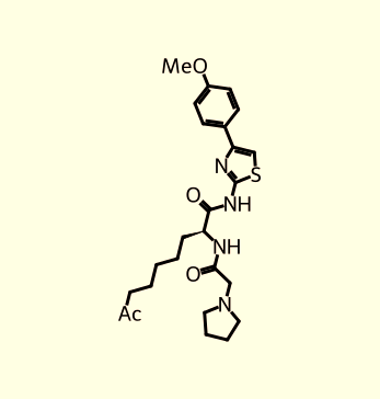 COc1ccc(-c2csc(NC(=O)[C@H](CCCCCC(C)=O)NC(=O)CN3CCCC3)n2)cc1